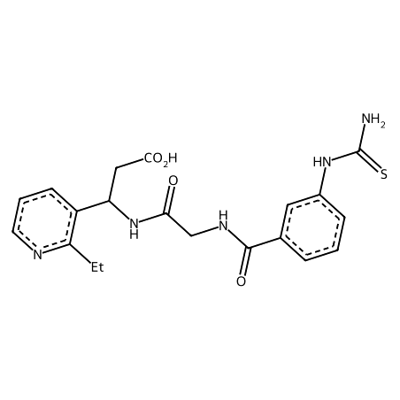 CCc1ncccc1C(CC(=O)O)NC(=O)CNC(=O)c1cccc(NC(N)=S)c1